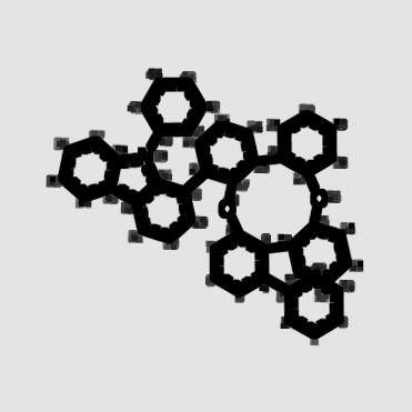 c1ccc(-c2cccc3c2-c2ccccc2Oc2ccccc2-c2cccc(-c4cccc5c6ccccc6n(-c6ccccc6)c45)c2O3)cc1